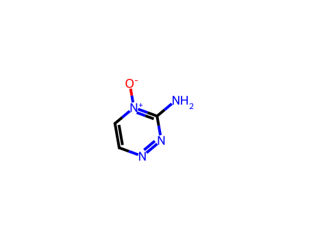 Nc1nncc[n+]1[O-]